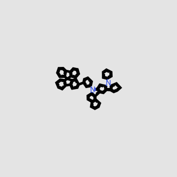 c1ccc(-n2c3ccccc3c3cc4c5c6ccccc6ccc5n(-c5cccc(-c6ccc7c(c6)C6(c8ccccc8-c8ccccc86)c6ccccc6-7)c5)c4cc32)cc1